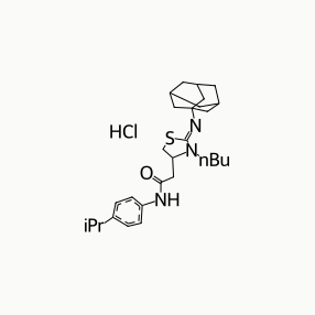 CCCCN1C(=NC23CC4CC(CC(C4)C2)C3)SCC1CC(=O)Nc1ccc(C(C)C)cc1.Cl